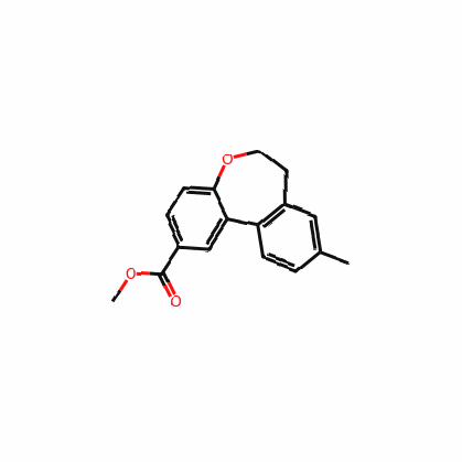 COC(=O)c1ccc2c(c1)-c1ccc(C)cc1CCO2